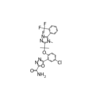 Cn1c(-c2ccccc2C(F)(F)F)nnc1C(C)(C)Oc1ccc(Cl)cc1-c1nnc(C(N)=O)o1